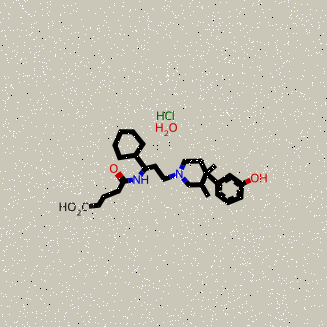 CC1CN(CCC(NC(=O)CCCC(=O)O)C2CCCCC2)CCC1(C)c1cccc(O)c1.Cl.O